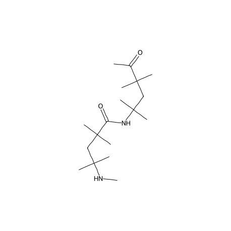 CNC(C)(C)CC(C)(C)C(=O)NC(C)(C)CC(C)(C)C(C)=O